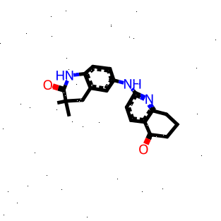 CC1(C)Cc2cc(Nc3ccc4c(n3)CCCC4=O)ccc2NC1=O